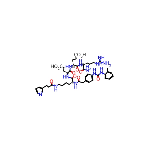 Cc1ccccc1NC(=O)Nc1ccc(CC(=O)N[C@@H](CCCCNC(=O)CCc2cccnc2)C(=O)N[C@@H](CCC(=O)O)C(=O)N[C@@H](CCC(=O)O)C(=O)N[C@@H](CCCNC(=N)N)C(N)=O)cc1